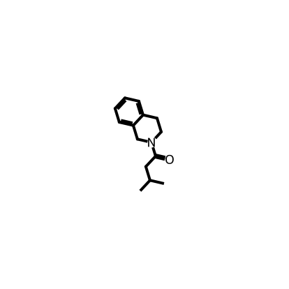 CC(C)CC(=O)N1CCc2ccccc2C1